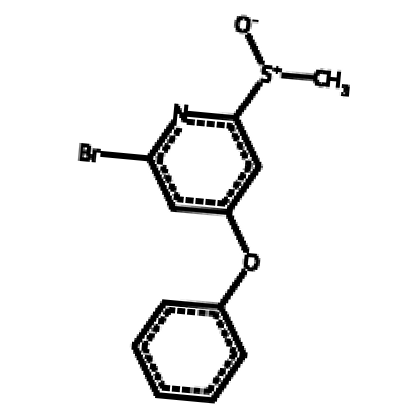 C[S+]([O-])c1cc(Oc2ccccc2)cc(Br)n1